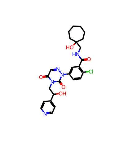 O=C(NCC1(O)CCCCCC1)c1cc(-n2ncc(=O)n(CC(O)c3ccncc3)c2=O)ccc1Cl